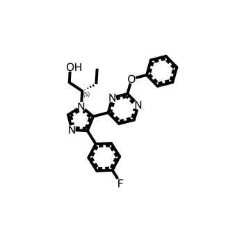 CC[C@@H](CO)n1cnc(-c2ccc(F)cc2)c1-c1ccnc(Oc2ccccc2)n1